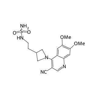 COc1cc2ncc(C#N)c(N3CC(CCNS(N)(=O)=O)C3)c2cc1OC